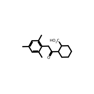 Cc1cc(C)c(CC(=O)C2CCCCC2C(=O)O)c(C)c1